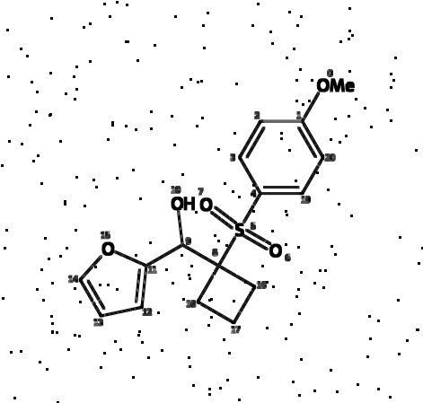 COc1ccc(S(=O)(=O)C2(C(O)c3ccco3)CCC2)cc1